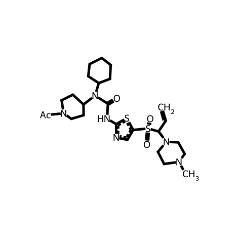 C=CC(N1CCN(C)CC1)S(=O)(=O)c1cnc(NC(=O)N(C2CCCCC2)C2CCN(C(C)=O)CC2)s1